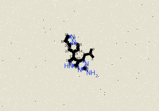 CC(C)Cc1nc(N)nc2[nH]cc(-c3ccn4nccc4c3)c12